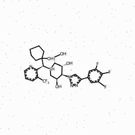 OC[C@@H]1[C@H](O)[C@@H](n2cc(-c3cc(F)c(F)c(F)c3)nn2)[C@@H](O)C[SH]1[C@@H](c1ncccc1C(F)(F)F)C1(O)CCCCC1